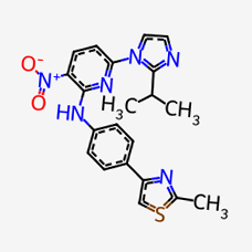 Cc1nc(-c2ccc(Nc3nc(-n4ccnc4C(C)C)ccc3[N+](=O)[O-])cc2)cs1